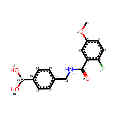 COc1ccc(F)c(C(=O)NCc2ccc(B(O)O)cc2)c1